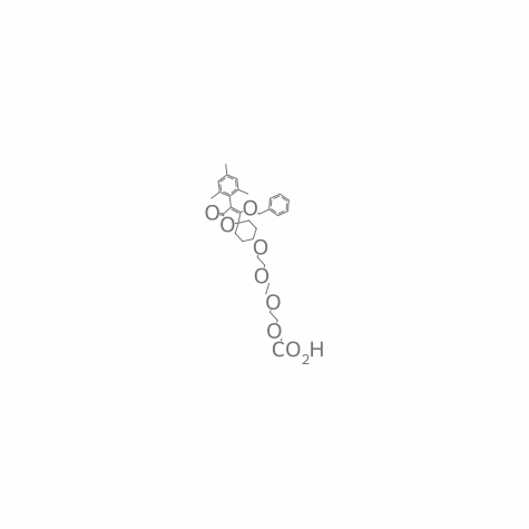 Cc1cc(C)c(C2=C(OCc3ccccc3)C3(CCC(OCCOCCOCCOCC(=O)O)CC3)OC2=O)c(C)c1